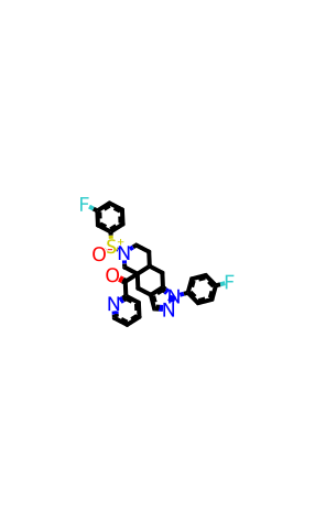 O=C(c1ccccn1)C12Cc3cnn(-c4ccc(F)cc4)c3CC1CCN([S+]([O-])c1cccc(F)c1)C2